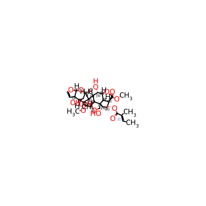 C/C=C(\C)C(=O)O[C@@H]1C[C@H](O)[C@]23CO[C@H](C(=O)OC)[C@H]2[C@](C)([C@]24O[C@@]2(C)[C@H]2C[C@@H]4O[C@@H]4OC=C[C@@]42O)[C@H](O)[C@@H]2OC[C@@]1(C(=O)OC)[C@H]23